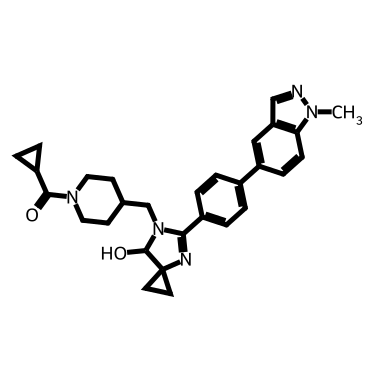 Cn1ncc2cc(-c3ccc(C4=NC5(CC5)C(O)N4CC4CCN(C(=O)C5CC5)CC4)cc3)ccc21